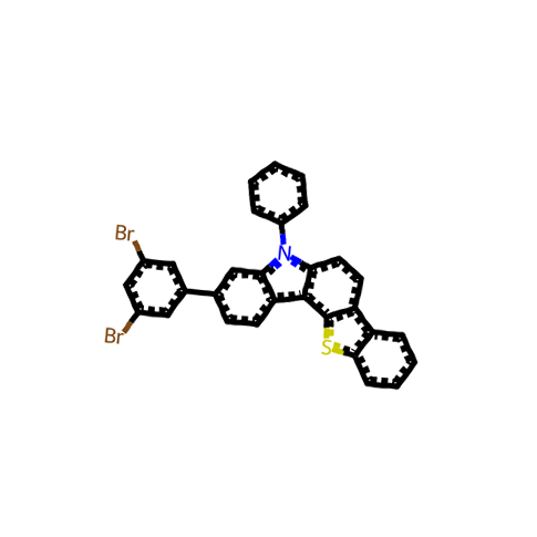 Brc1cc(Br)cc(-c2ccc3c4c5sc6ccccc6c5ccc4n(-c4ccccc4)c3c2)c1